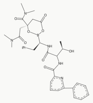 CC(C)C[C@H](NC(=O)C(NC(=O)c1cccc(-c2ccccc2)n1)[C@@H](C)O)B1OC(=O)C[C@](CC(=O)N(C)C)(C(=O)N(C)C)O1